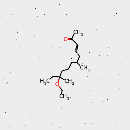 CCOC(C)(CC)CCCC(C)C/C=C/C(C)=O